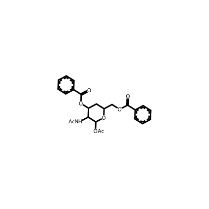 CC(=O)NC1C(OC(=O)c2ccccc2)CC(COC(=O)c2ccccc2)OC1OC(C)=O